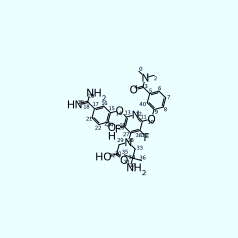 CN(C)C(=O)c1cccc(Oc2nc(Oc3cc(C(=N)N)ccc3O)c(F)c(N(CC(=O)O)CC(C)(C)N)c2F)c1